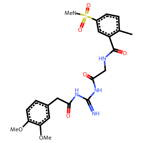 CNS(=O)(=O)c1ccc(C)c(C(=O)NCC(=O)NC(=N)NC(=O)Cc2ccc(OC)c(OC)c2)c1